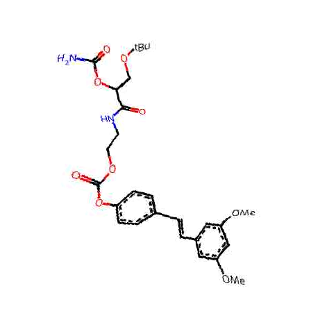 COc1cc(C=Cc2ccc(OC(=O)OCCNC(=O)C(COC(C)(C)C)OC(N)=O)cc2)cc(OC)c1